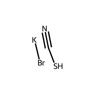 N#CS.[K][Br]